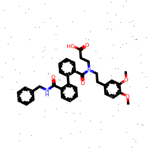 COc1ccc(CCN(CCC(=O)O)C(=O)c2ccccc2-c2ccccc2C(=O)NCc2ccccc2)cc1OC